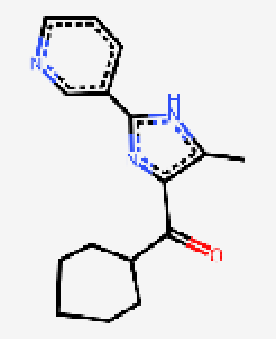 Cc1[nH]c(-c2cccnc2)nc1C(=O)C1CCCCC1